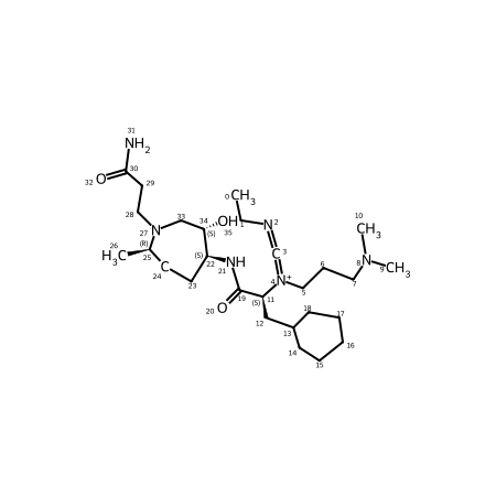 CCN=C=[N+](CCCN(C)C)[C@@H](CC1CCCCC1)C(=O)N[C@H]1CC[C@@H](C)N(CCC(N)=O)C[C@@H]1O